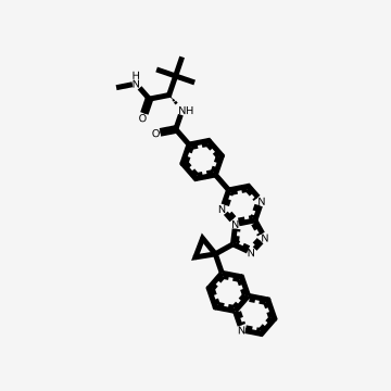 CNC(=O)[C@@H](NC(=O)c1ccc(-c2cnc3nnc(C4(c5ccc6ncccc6c5)CC4)n3n2)cc1)C(C)(C)C